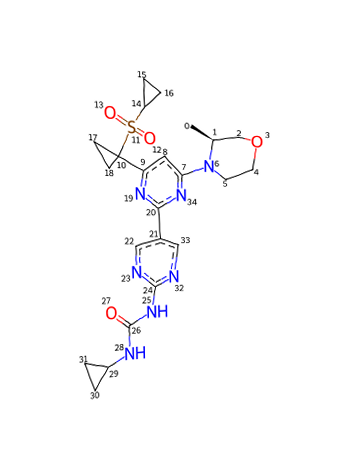 C[C@H]1COCCN1c1cc(C2(S(=O)(=O)C3CC3)CC2)nc(-c2cnc(NC(=O)NC3CC3)nc2)n1